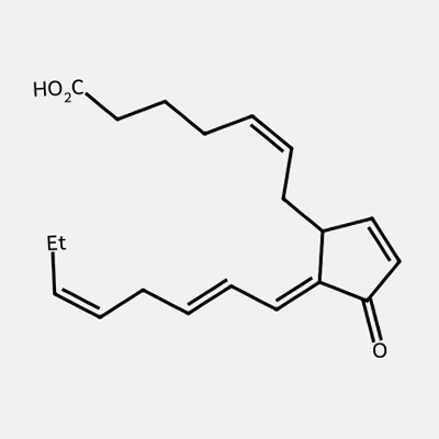 CC/C=C\C/C=C/C=C1/C(=O)C=CC1C/C=C\CCCC(=O)O